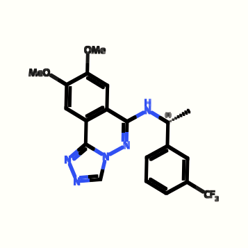 COc1cc2c(N[C@H](C)c3cccc(C(F)(F)F)c3)nn3cnnc3c2cc1OC